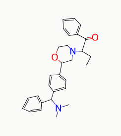 CCC(C(=O)c1ccccc1)N1CCOC(c2ccc(C(c3ccccc3)N(C)C)cc2)C1